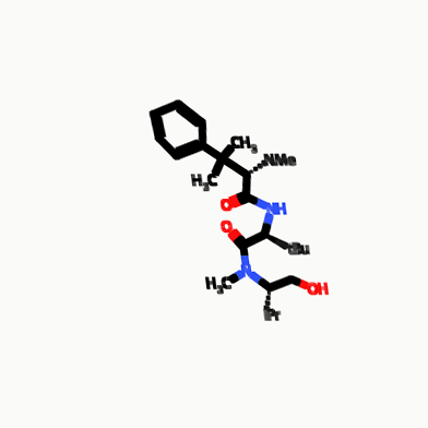 CN[C@H](C(=O)N[C@H](C(=O)N(C)[C@H](CO)C(C)C)C(C)(C)C)C(C)(C)c1ccccc1